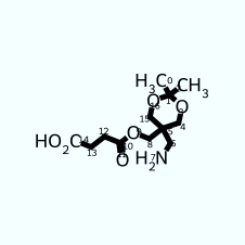 CC1(C)OCC(CN)(COC(=O)CCC(=O)O)CO1